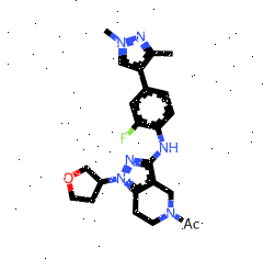 CC(=O)N1CCc2c(c(Nc3ccc(-c4cn(C)nc4C)cc3F)nn2C2CCOC2)C1